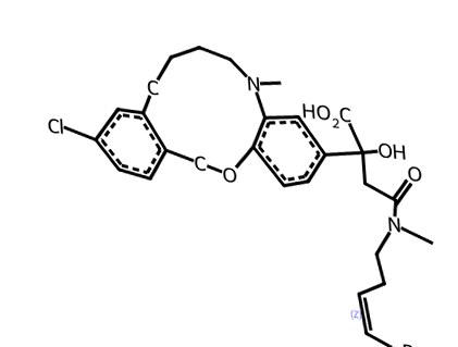 CCC/C=C\CCN(C)C(=O)CC(O)(C(=O)O)c1ccc2c(c1)N(C)CCCCc1cc(Cl)ccc1CO2